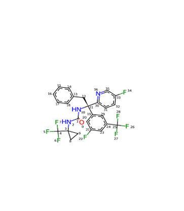 O=C(NC1(C(F)(F)F)CC1)N[C@@](Cc1ccccc1)(c1cc(F)cc(C(F)(F)F)c1)c1ccc(F)cn1